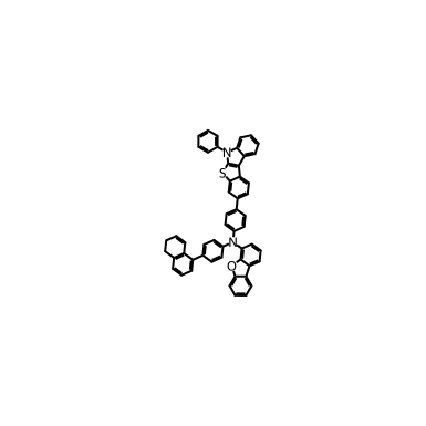 C1=Cc2c(cccc2-c2ccc(N(c3ccc(-c4ccc5c(c4)sc4c5c5ccccc5n4-c4ccccc4)cc3)c3cccc4c3oc3ccccc34)cc2)CC1